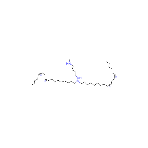 CCCCC/C=C\C/C=C\CCCCCCCCN(CCCCCCCC/C=C\C/C=C\CCCCC)NCCCCNC